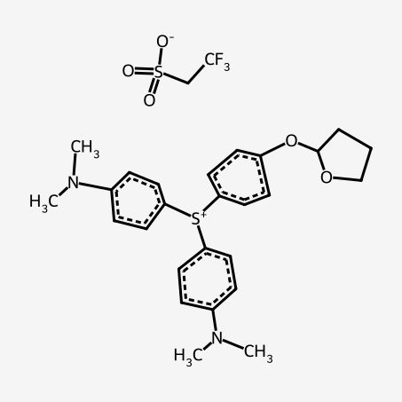 CN(C)c1ccc([S+](c2ccc(OC3CCCO3)cc2)c2ccc(N(C)C)cc2)cc1.O=S(=O)([O-])CC(F)(F)F